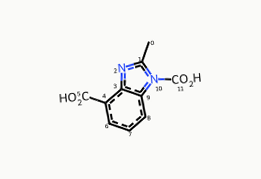 Cc1nc2c(C(=O)O)cccc2n1C(=O)O